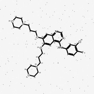 Fc1ccc(Nc2ncnc3cc(OCCCN4CCOCC4)c(OCCCN4CCOCC4)cc23)cc1Cl